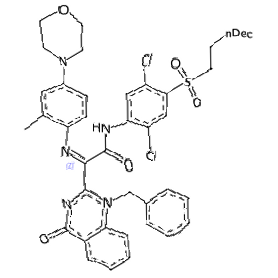 CCCCCCCCCCCCS(=O)(=O)c1cc(Cl)c(NC(=O)/C(=N\c2ccc(N3CCOCC3)cc2C)c2nc(=O)c3ccccc3n2Cc2ccccc2)cc1Cl